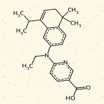 CCN(c1ccc2c(c1)C(C(C)C)=CCC2(C)C)c1ccc(C(=O)O)cn1